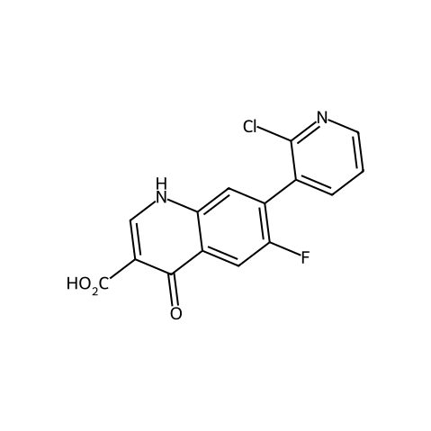 O=C(O)c1c[nH]c2cc(-c3cccnc3Cl)c(F)cc2c1=O